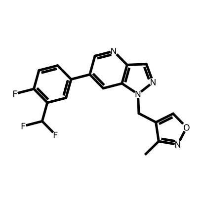 Cc1nocc1Cn1ncc2ncc(-c3ccc(F)c(C(F)F)c3)cc21